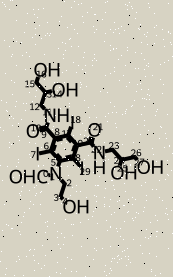 O=CN(CCO)c1c(I)c(C(=O)NCC(O)CO)c(I)c(C(=O)NCC(O)CO)c1I